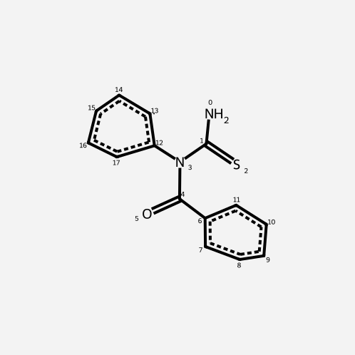 NC(=S)N(C(=O)c1ccccc1)c1[c]cccc1